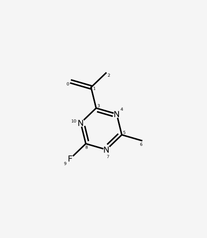 C=C(C)c1nc(C)nc(F)n1